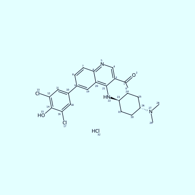 CC(=O)c1cnc2ccc(-c3cc(Cl)c(O)c(Cl)c3)cc2c1N[C@H]1CC[C@H](N(C)C)CC1.Cl